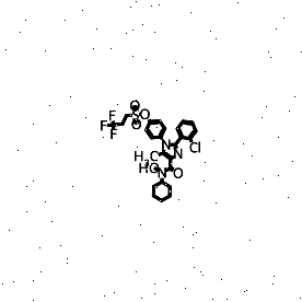 Cc1c(C(=O)N(O)C2CCCCC2)nc(-c2ccccc2Cl)n1-c1ccc(OS(=O)(=O)CCC(F)(F)F)cc1